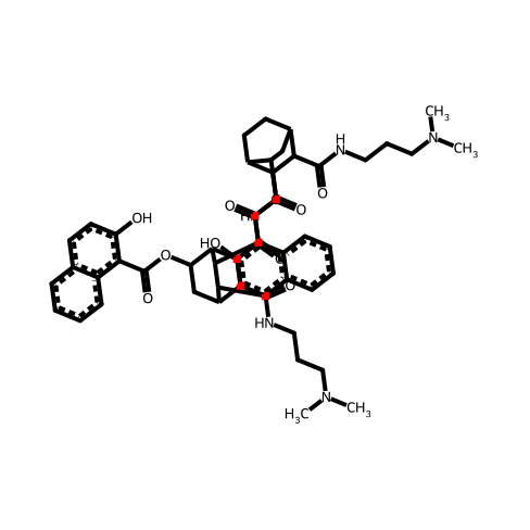 CN(C)CCCNC(=O)C1C2CCC(C(OC(=O)c3c(O)ccc4ccccc34)C2)C1C(=O)NC(=O)C1C2CCC(CC2OC(=O)c2c(O)ccc3ccccc23)C1C(=O)NCCCN(C)C